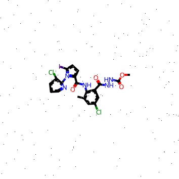 COC(=O)NNC(=O)c1cc(Cl)cc(C)c1NC(=O)c1ccc(I)n1-c1ncccc1Cl